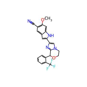 COc1cc2[nH]c(-c3cn4c(n3)C(c3ccccc3C(F)(F)F)OCC4)cc2cc1C#N